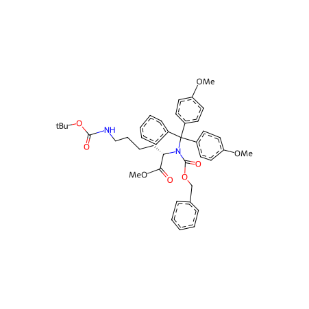 COC(=O)[C@H](CCCCNC(=O)OC(C)(C)C)N(C(=O)OCc1ccccc1)C(c1ccccc1)(c1ccc(OC)cc1)c1ccc(OC)cc1